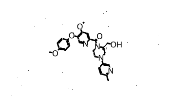 COc1ccc(Oc2cnc(C(=O)N3CCN(c4ccc(C)nc4)C[C@@H]3CO)cc2OC)cc1